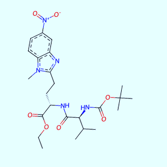 CCOC(=O)[C@H](CCc1nc2cc([N+](=O)[O-])ccc2n1C)NC(=O)[C@@H](NC(=O)OC(C)(C)C)C(C)C